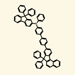 c1ccc(N(c2ccc(-c3ccc(-c4ccc5c(c4)C(c4ccccc4)(c4ccccc4)c4ccc6ccccc6c4-5)cc3)cc2)c2ccc3c(c2)C(c2ccccc2)(c2ccccc2)c2ccccc2-3)cc1